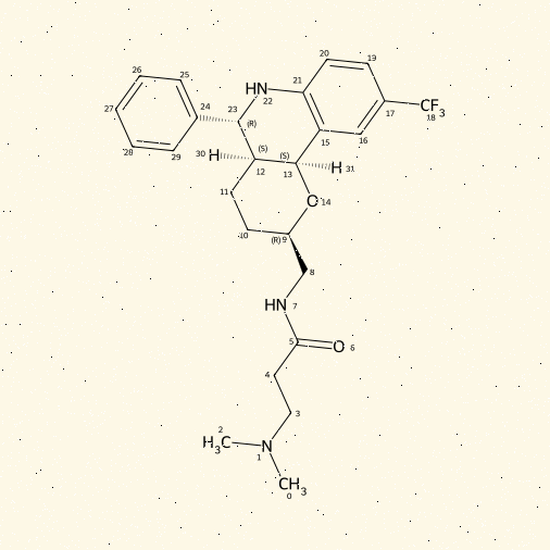 CN(C)CCC(=O)NC[C@H]1CC[C@@H]2[C@H](O1)c1cc(C(F)(F)F)ccc1N[C@H]2c1ccccc1